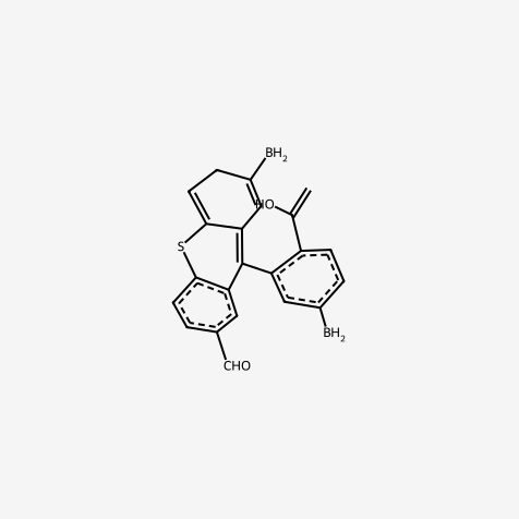 BC1=CC2=C(c3cc(B)ccc3C(=C)O)c3cc(C=O)ccc3SC2=CC1